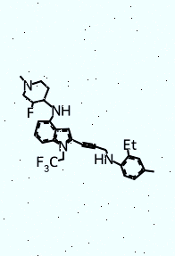 CCc1cc(C)ccc1NCC#Cc1cc2c(NC3CCN(C)CC3F)cccc2n1CC(F)(F)F